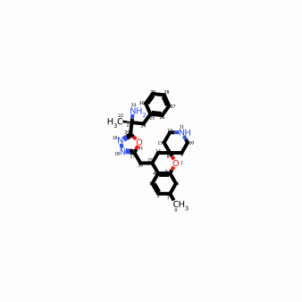 CC1C=CC2=C(C1)OC1(CCNCC1)CC2Cc1nnc([C@](C)(N)Cc2ccccc2)o1